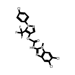 Cn1c(NC(=O)Oc2cnn(-c3ccc(Cl)cc3)c2C(F)(F)F)nc2cc(Cl)c(Cl)cc21